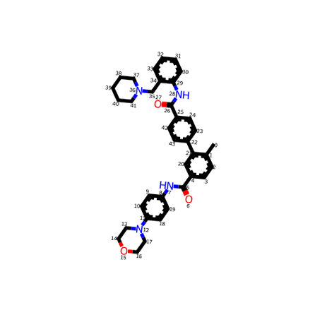 Cc1ccc(C(=O)Nc2ccc(N3CCOCC3)cc2)cc1-c1ccc(C(=O)Nc2ccccc2CN2CCCCC2)cc1